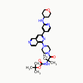 CC(C)(C)OC(=O)NC(C)(C)C(=O)N1CCN(c2nc(-c3ccnc(NC4CCOCC4)c3)cc3cnccc23)CC1